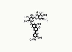 COc1ccc(-c2cc(=O)c3c(O)cc(O[C@@H]4OC(CO[C@@H]5OC(C)[C@H](O)C(O)C5O)[C@@H](O)C(O)C4O)cc3o2)cc1O